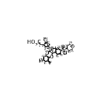 O=C(O)Cc1cc(NC(=O)C(Oc2ccc(F)cc2F)c2ccc(S(=O)(=O)C3CCOCC3)cc2)sc1Cl